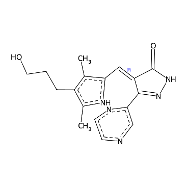 Cc1[nH]c(/C=C2/C(=O)NN=C2c2cnccn2)c(C)c1CCCO